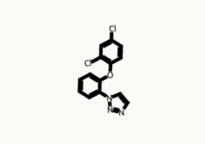 Clc1ccc(Oc2ccccc2-n2c[c]nn2)c(Cl)c1